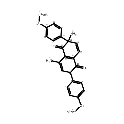 CCCCCOc1ccc(C2C=C(N)C3=C(C=CC(N)(c4ccc(OCCCCC)cc4)C3=O)C2=O)cc1